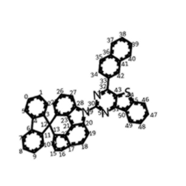 c1ccc2c(c1)-c1ccccc1C21c2cccc3ccc4c(c23)c2c1cccc2n4-c1nc(-c2ccc3ccccc3c2)c2sc3ccccc3c2n1